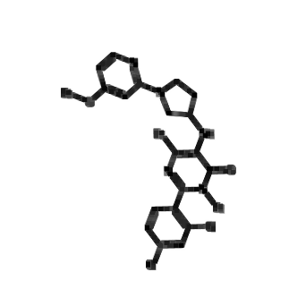 CCOc1ccnc(N2CCC(Nc3c(CC)nc(-c4ccc(Cl)cc4Cl)n(CC)c3=O)C2)c1